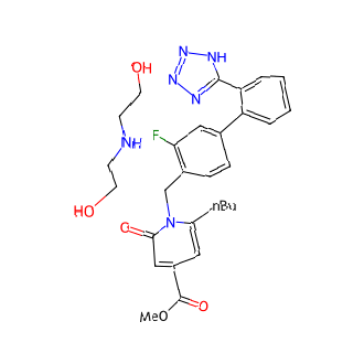 CCCCc1cc(C(=O)OC)cc(=O)n1Cc1ccc(-c2ccccc2-c2nnn[nH]2)cc1F.OCCNCCO